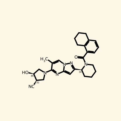 Cc1cn2nc([C@@H]3CCCCN3C(=O)c3cccc4c3CCCC4)cc2nc1N1C[C@@H](C#N)[C@@H](O)C1